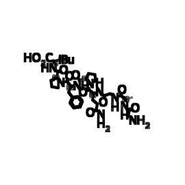 CC[C@H](C)[C@H](NC(=O)[C@@H]1CCCN1C(=O)[C@H](Cc1ccccc1)NC(=O)[C@@H]1CCCN1C(=O)[C@H](CCC(N)=O)NC(=O)CNC(=O)[C@H](C)NC(=O)CN)C(=O)O